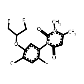 Cn1c(C(F)(F)F)cc(=O)n(-c2cc(OC(CF)CF)c(Cl)cc2F)c1=O